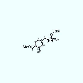 COCc1ccc(CNC(=O)OC(C)(C)C)cc1F